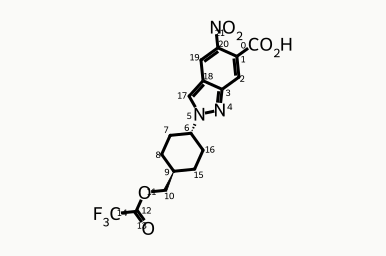 O=C(O)c1cc2nn([C@H]3CC[C@H](COC(=O)C(F)(F)F)CC3)cc2cc1[N+](=O)[O-]